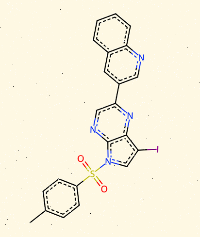 Cc1ccc(S(=O)(=O)n2cc(I)c3nc(-c4cnc5ccccc5c4)cnc32)cc1